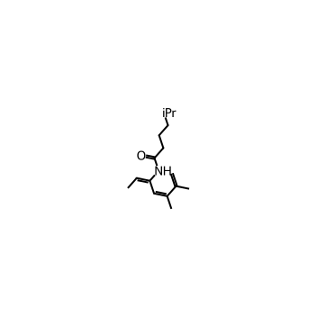 C=C(C)/C(C)=C\C(=C/C)NC(=O)CCCC(C)C